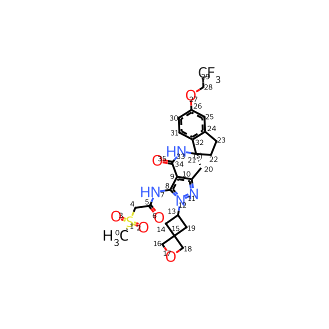 CS(=O)(=O)CC(=O)Nc1c2c(nn1C1CC3(COC3)C1)C[C@]1(CCc3cc(OCC(F)(F)F)ccc31)NC2=O